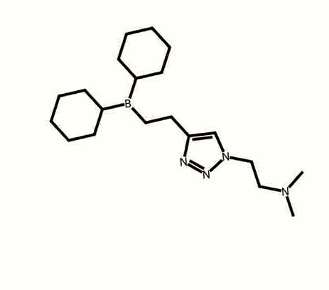 CN(C)CCn1cc(CCB(C2CCCCC2)C2CCCCC2)nn1